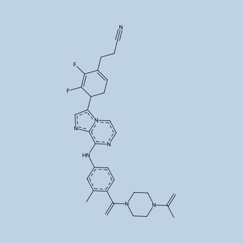 C=C(C)N1CCN(C(=C)c2ccc(Nc3nccn4c(C5CC=C(CCC#N)C(F)=C5F)cnc34)cc2C)CC1